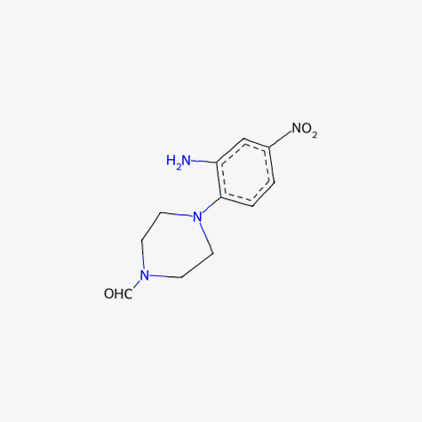 Nc1cc([N+](=O)[O-])ccc1N1CCN(C=O)CC1